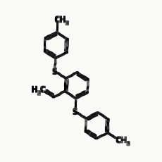 C=Cc1c(Sc2ccc(C)cc2)cccc1Sc1ccc(C)cc1